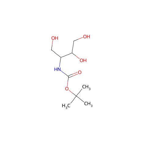 CC(C)(C)OC(=O)NC(CO)C(O)CO